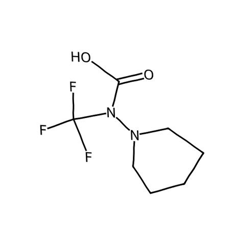 O=C(O)N(N1CCCCC1)C(F)(F)F